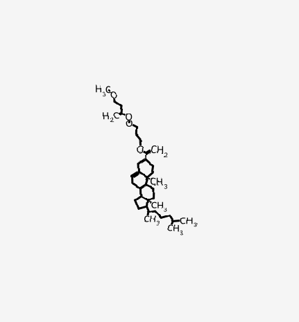 C=C(CCOC)OOCCCOC(=C)[C@H]1CC[C@@]2(C)C(=CCC3C4CCC(C(C)CCCC(C)C)[C@@]4(C)CCC32)C1